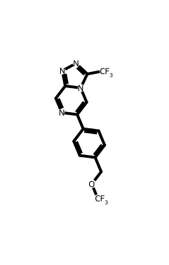 FC(F)(F)OCc1ccc(-c2cn3c(C(F)(F)F)nnc3cn2)cc1